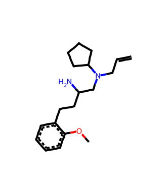 C=CCN(CC(N)CCc1ccccc1OC)C1CCCC1